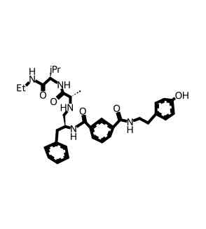 CCNC(=O)[C@@H](NC(=O)[C@H](C)NC[C@H](Cc1ccccc1)NC(=O)c1cccc(C(=O)NCCc2ccc(O)cc2)c1)C(C)C